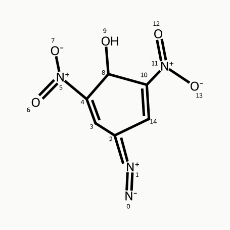 [N-]=[N+]=C1C=C([N+](=O)[O-])C(O)C([N+](=O)[O-])=C1